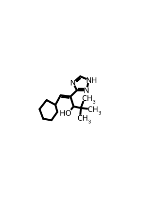 CC(C)(C)C(O)C(=CC1CCCCC1)c1nc[nH]n1